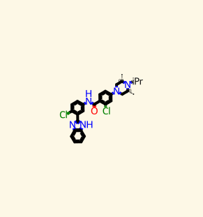 CC(C)N1[C@H](C)CN(c2ccc(C(=O)Nc3ccc(Cl)c(-c4nc5ccccc5[nH]4)c3)c(Cl)c2)C[C@@H]1C